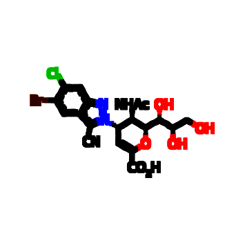 CC(=O)N[C@H]1[C@H]([C@H](O)[C@H](O)CO)OC(C(=O)O)=C[C@@H]1n1nc2cc(Cl)c(Br)cc2c1C#N